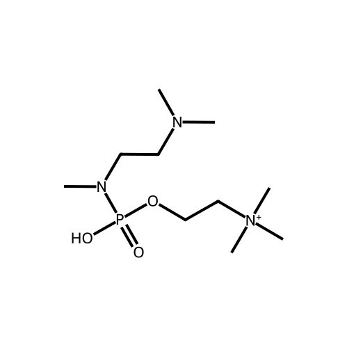 CN(C)CCN(C)P(=O)(O)OCC[N+](C)(C)C